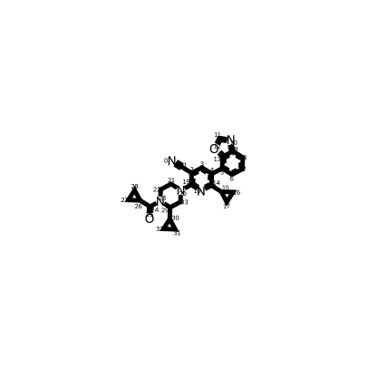 N#Cc1cc(-c2cccc3ncoc23)c(C2CC2)nc1N1CCN(C(=O)C2CC2)C(C2CC2)C1